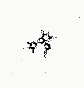 [C-]#[N+]c1ccc([C@]23CN(c4nc(C)c(F)c(C)n4)C[C@H]2C(=O)N(C)C(=N)N3)s1